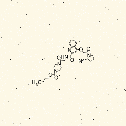 CCCCOC(=O)N1CCN(C(=O)CNC(=O)c2cc(OCC(=O)N3CCCC3C#N)c3ccccc3n2)CC1